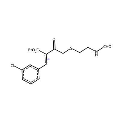 CCOC(=O)/C(=C\c1cccc(Cl)c1)C(=O)CSCCNC=O